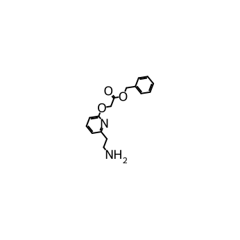 NCCc1cccc(OCC(=O)OCc2ccccc2)n1